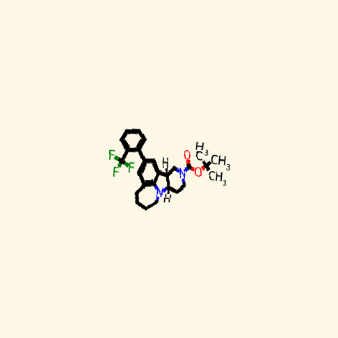 CC(C)(C)OC(=O)N1CC[C@H]2[C@@H](C1)c1cc(-c3ccccc3C(F)(F)F)cc3c1N2CCCC3